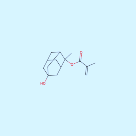 C=C(C)C(=O)OC1(C)C2CC3CC1CC(O)(C3)C2